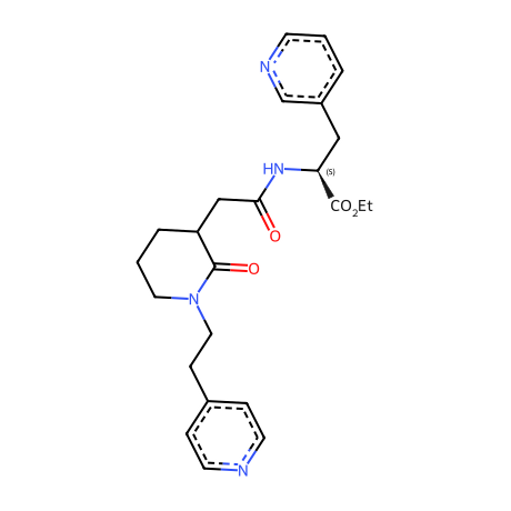 CCOC(=O)[C@H](Cc1cccnc1)NC(=O)CC1CCCN(CCc2ccncc2)C1=O